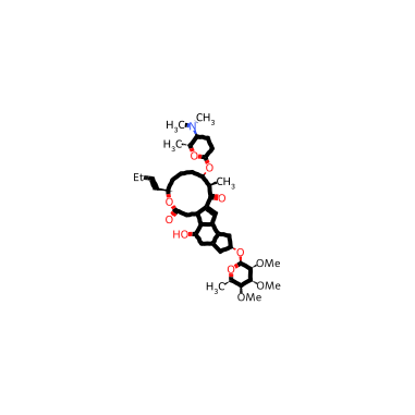 CC/C=C/[C@H]1CCC[C@H](OC2CC[C@H](N(C)C)[C@@H](C)O2)[C@@H](C)C(=O)C2=CC3C4C[C@H](O[C@@H]5O[C@@H](C)[C@H](OC)[C@@H](OC)[C@H]5OC)CC4CC(O)C3C2CC(=O)O1